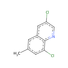 [CH2]c1cc(Cl)c2ncc(Cl)cc2c1